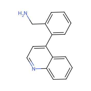 NCc1ccccc1-c1ccnc2ccccc12